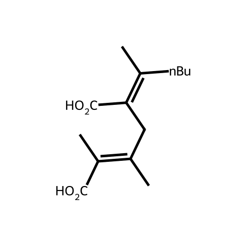 CCCCC(C)=C(CC(C)=C(C)C(=O)O)C(=O)O